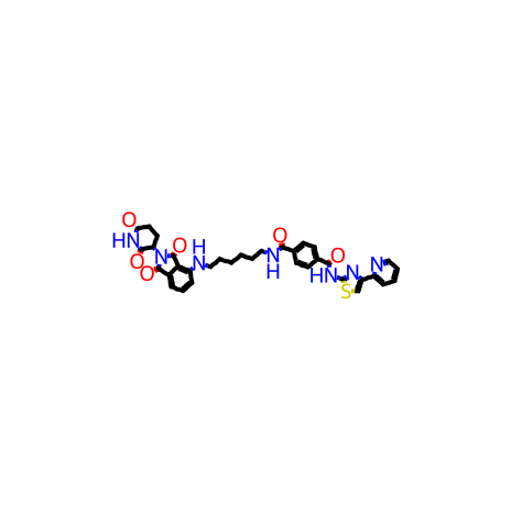 O=C1CCC(N2C(=O)c3cccc(NCCCCCCNC(=O)c4ccc(C(=O)Nc5nc(-c6ccccn6)cs5)cc4)c3C2=O)C(=O)N1